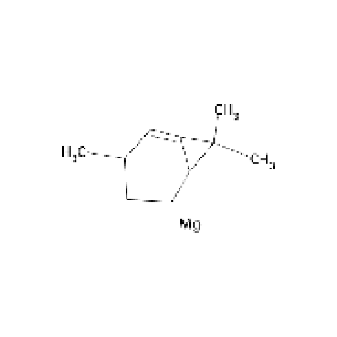 CC1C=C2C(CC1)C2(C)C.[Mg]